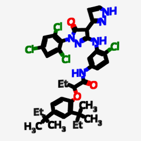 CCC(Oc1ccc(C(C)(C)CC)cc1C(C)(C)CC)C(=O)Nc1ccc(Cl)c(NC2=NN(c3c(Cl)cc(Cl)cc3Cl)C(=O)C2c2cc[nH]n2)c1